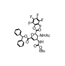 CC(=O)N[C@@H]1[C@@H](NC(=O)OC(C)(C)C)C=C(C(=O)OC(c2ccccc2)c2ccccc2)O[C@H]1C(=O)Oc1c(F)c(F)c(F)c(F)c1F